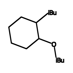 CCC(C)OC1CCCCC1C(C)CC